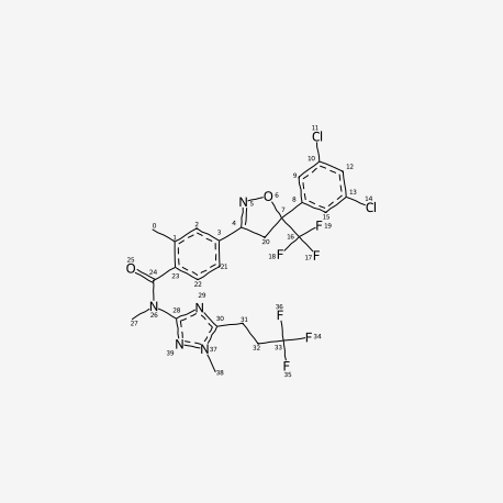 Cc1cc(C2=NOC(c3cc(Cl)cc(Cl)c3)(C(F)(F)F)C2)ccc1C(=O)N(C)c1nc(CCC(F)(F)F)n(C)n1